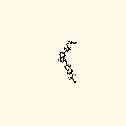 COCc1nc(-c2ccc3nnn(Cc4ccc5nc(NC(=O)C6CC6)cn5n4)c3c2)no1